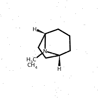 C.CN1[C@@H]2CCC[C@H]1CC2